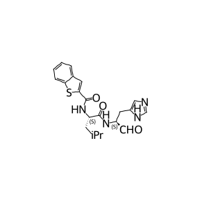 CC(C)C[C@H](NC(=O)c1cc2ccccc2s1)C(=O)N[C@H](C=O)Cc1cnc[nH]1